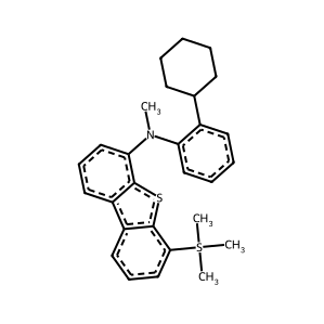 CN(c1ccccc1C1CCCCC1)c1cccc2c1sc1c(S(C)(C)C)cccc12